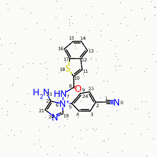 N#Cc1ccc([N+]2(NC(=O)c3cc4ccccc4s3)C=NC=C2N)cc1